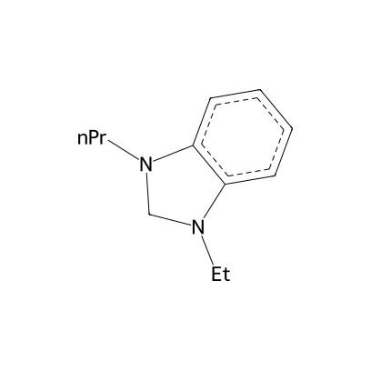 CCCN1CN(CC)c2ccccc21